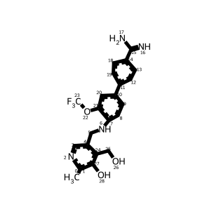 Cc1ncc(CNc2ccc(-c3ccc(C(=N)N)cc3)cc2OC(F)(F)F)c(CO)c1O